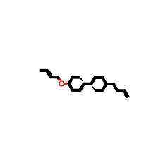 C=CCC[C@H]1CC[C@H]([C@H]2CC[C@H](OCC=CC)CC2)CC1